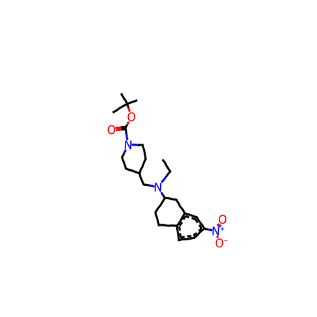 CCN(CC1CCN(C(=O)OC(C)(C)C)CC1)C1CCc2ccc([N+](=O)[O-])cc2C1